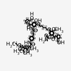 C=CCOC(=O)NC(C(=O)NC(C)C(=O)Nc1ccc(COC(=O)Nc2cc(OCCCCCOc3cc(OC(N)=O)c(C(=O)N4CCC[C@H]4CO)cc3OC)c(O)cc2C(=O)N2CCC[C@H]2CO)cc1)C(C)C